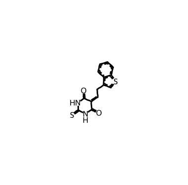 O=C1NC(=S)NC(=O)C1=CCc1csc2ccccc12